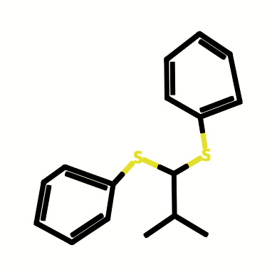 CC(C)C(Sc1ccccc1)Sc1ccccc1